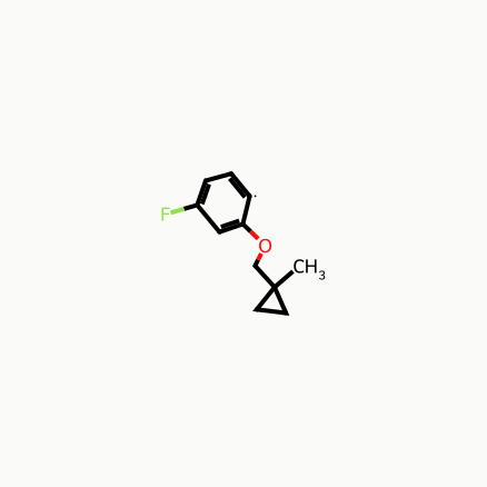 CC1(COc2[c]ccc(F)c2)CC1